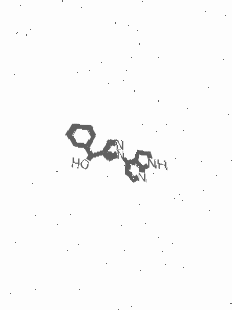 OC(c1cnn(-c2ccnc3c2CCN3)c1)C1CCCCC1